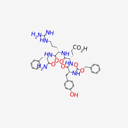 N=C(N)NCCC[C@H](NC(=O)[C@H](CCC(=O)O)NC(=O)[C@H](Cc1ccc(O)cc1)NC(=O)OCc1ccccc1)C(=O)N[C@@H](Cc1ccccc1)C(N)=O